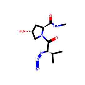 CNC(=O)[C@@H]1C[C@@H](O)CN1C(=O)[C@@H](N=[N+]=[N-])C(C)C